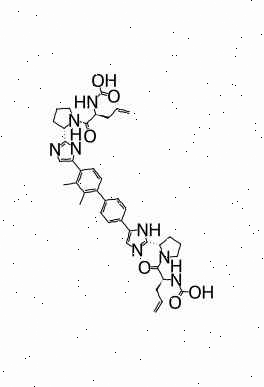 C=CC[C@H](NC(=O)O)C(=O)N1CCC[C@H]1c1ncc(-c2ccc(-c3ccc(-c4cnc([C@@H]5CCCN5C(=O)[C@H](CC=C)NC(=O)O)[nH]4)c(C)c3C)cc2)[nH]1